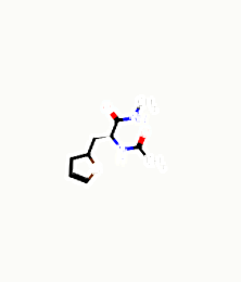 CNC(=O)[C@H](CC1CC=CS1)NC(C)=O